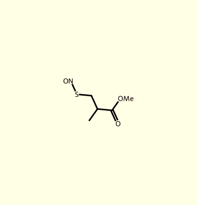 COC(=O)C(C)CSN=O